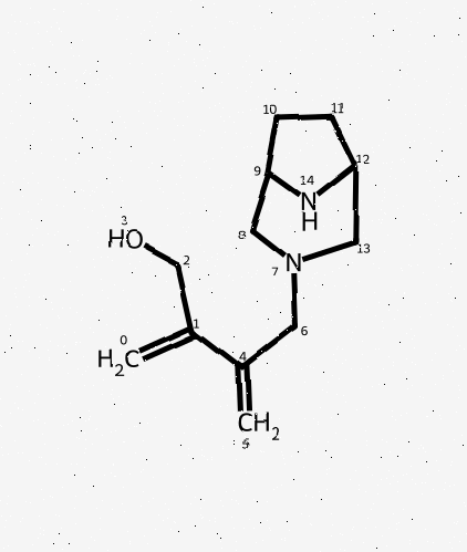 C=C(CO)C(=C)CN1CC2CCC(C1)N2